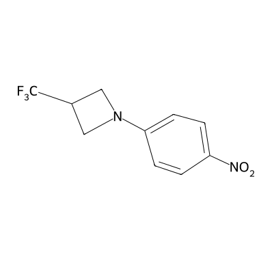 O=[N+]([O-])c1ccc(N2CC(C(F)(F)F)C2)cc1